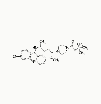 COc1ccc2nc3cc(Cl)ccc3c(NC(C)CCCN3CCN(C(=O)OC(C)(C)C)CC3)c2c1